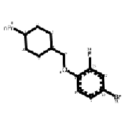 CCCC1CCC(COc2ccc(Br)cc2F)CC1